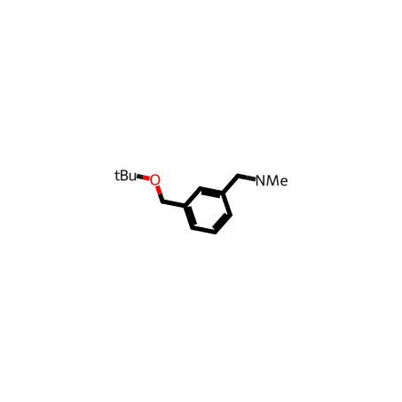 CNCc1cccc(COC(C)(C)C)c1